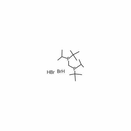 Br.Br.CC(C)P(CP(C(C)C)C(C)(C)C)C(C)(C)C